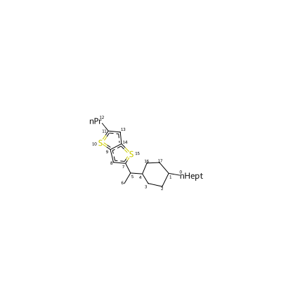 CCCCCCCC1CCC(C(C)c2cc3sc(CCC)cc3s2)CC1